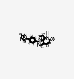 Cn1nnc(-c2ccc(C3=NC=C4C=CC(=O)NC5=C4N3CC5)cc2)n1